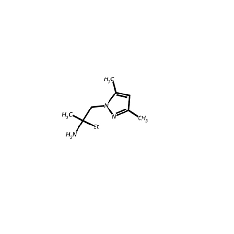 CCC(C)(N)Cn1nc(C)cc1C